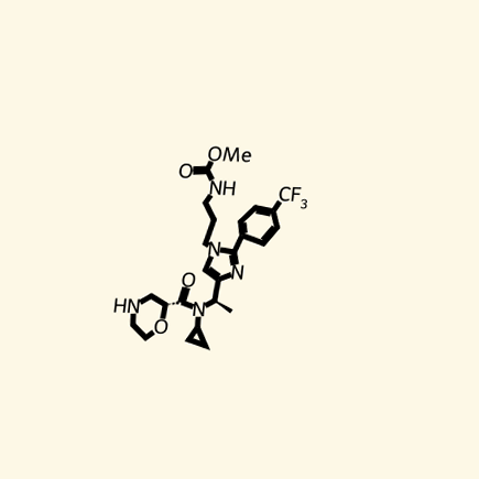 COC(=O)NCCCn1cc([C@@H](C)N(C(=O)[C@H]2CNCCO2)C2CC2)nc1-c1ccc(C(F)(F)F)cc1